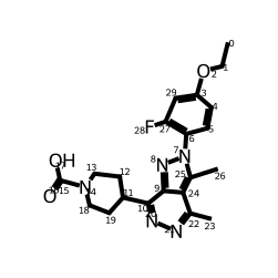 CCOc1ccc(-n2nc3c(C4CCN(C(=O)O)CC4)nnc(C)c3c2C)c(F)c1